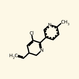 C=CC1C=C(Cl)C(c2ccc(C)nc2)=NC1